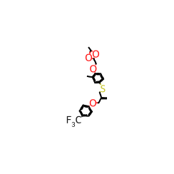 C=C(COc1ccc(C(F)(F)F)cc1)CSc1ccc(OCC2OC(C)O2)c(C)c1